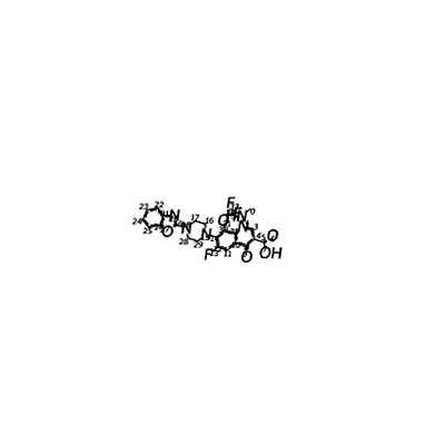 CNn1cc(C(=O)O)c(=O)c2cc(F)c(N3CCN(c4nc5ccccc5o4)CC3)c(OC(F)F)c21